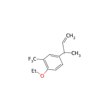 C=C[C](C)c1ccc(OCC)c(C(F)(F)F)c1